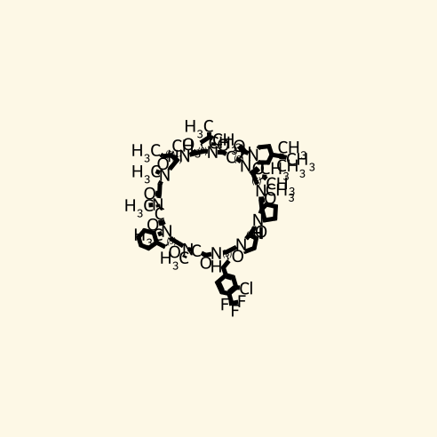 CC[C@H](C)[C@@H]1NC(=O)[C@H](CC(C)C)N(C)C(=O)C[C@@H](C(=O)N2CCC(C(C)(C)C)CC2)NC(=O)[C@H](C(C)C)N(C)C(=O)C2(CCCC2)NC(=O)[C@@H]2CCCN2C(=O)[C@H](CCc2ccc(C(F)(F)F)c(Cl)c2)NC(=O)CN(C)C(=O)[C@H](CC2CCCCC2)N(C)C(=O)CN(C)C(=O)CN(C)C1=O